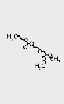 C=CCOC(=O)OCCOCC(OC)OCC